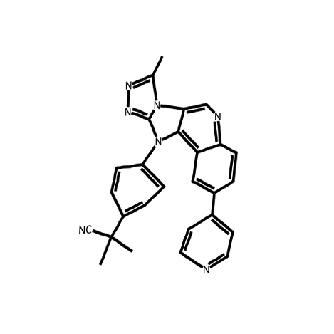 Cc1nnc2n(-c3ccc(C(C)(C)C#N)cc3)c3c4cc(-c5ccncc5)ccc4ncc3n12